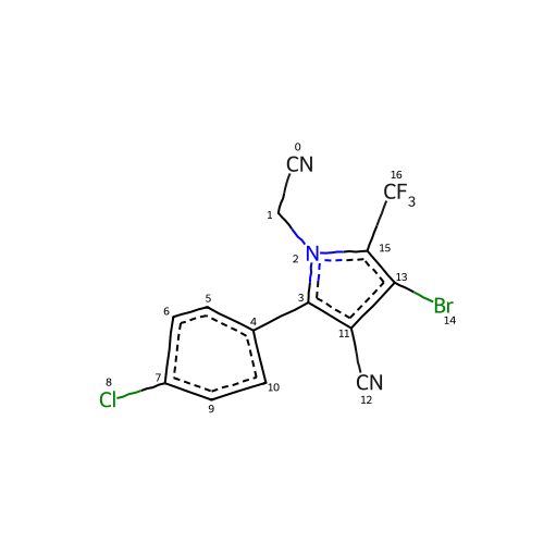 N#CCn1c(-c2ccc(Cl)cc2)c(C#N)c(Br)c1C(F)(F)F